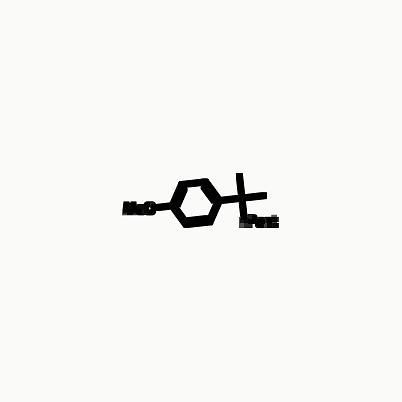 CCCCCC(C)(C)c1ccc(OC)cc1